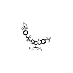 CC(C)[C@@H]1c2nc(NC(=O)Cc3ccc(S(C)(=O)=O)cc3)sc2CN1Cc1ccc(OC(F)F)cc1F